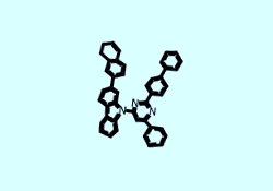 C1=Cc2ccc(-c3ccc4c5ccccc5n(-c5cc(-c6ccccc6)nc(-c6ccc(-c7ccccc7)cc6)n5)c4c3)cc2CC1